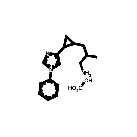 CC(CN)CC1CC1c1cn(-c2ccccc2)cn1.O=C(O)O